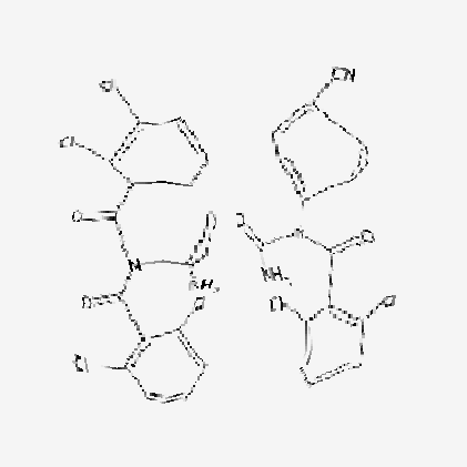 N#Cc1ccc(N(C(N)=O)C(=O)c2c(Cl)cccc2Cl)cc1.NC(=O)N(C(=O)c1cccc(Cl)c1Cl)C(=O)c1c(Cl)cccc1Cl